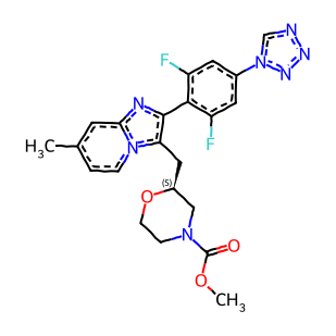 COC(=O)N1CCO[C@@H](Cc2c(-c3c(F)cc(-n4cnnn4)cc3F)nc3cc(C)ccn23)C1